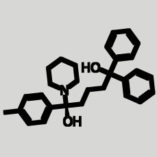 Cc1ccc([C@@](O)(CCCC(O)(c2ccccc2)c2ccccc2)N2CCCCC2)cc1